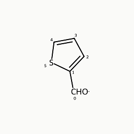 O=[C]c1cccs1